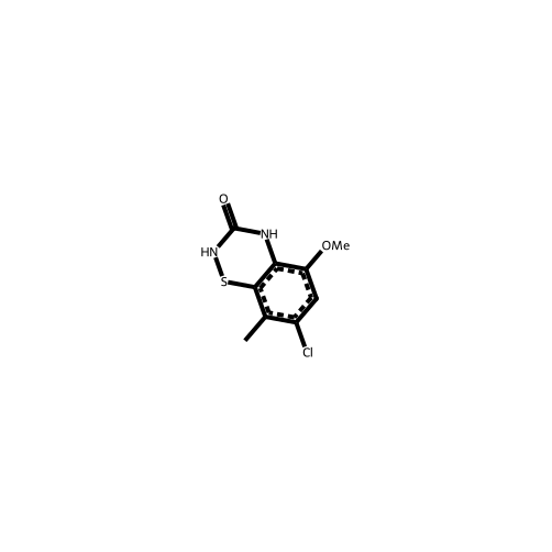 COc1cc(Cl)c(C)c2c1NC(=O)NS2